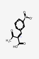 CC(=O)/C(=C\c1cccc([N+](=O)[O-])c1)C(=O)O